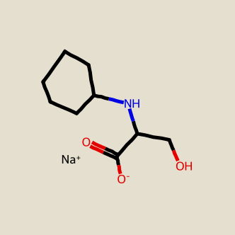 O=C([O-])C(CO)NC1CCCCC1.[Na+]